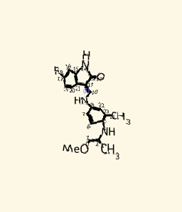 COCC(C)Nc1ccc(N/C=C2/C(=O)Nc3cc(F)ccc32)cc1C